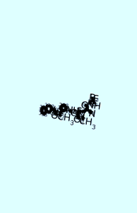 CCn1c(=C=C(C#N)C(=O)NCC(F)(F)F)sc(=C=CNc2cccc(N(C)C(=O)CN3CCc4ccccc4C3)c2)c1=O